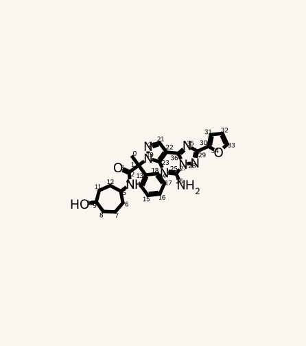 CC(C(=O)NC1CCCC(O)CC1)(c1ccccc1)n1ncc2c1nc(N)n1nc(-c3ccco3)nc21